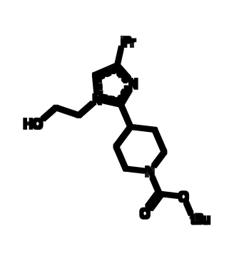 CC(C)c1cn(CCO)c(C2CCN(C(=O)OC(C)(C)C)CC2)n1